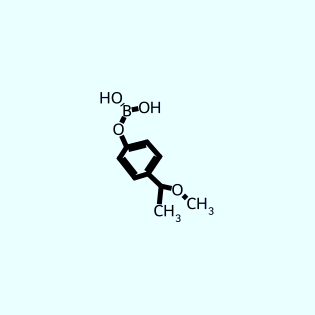 COC(C)c1ccc(OB(O)O)cc1